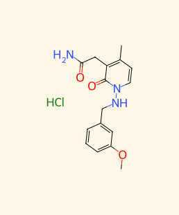 COc1cccc(CNn2ccc(C)c(CC(N)=O)c2=O)c1.Cl